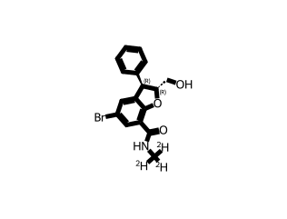 [2H]C([2H])([2H])NC(=O)c1cc(Br)cc2c1O[C@@H](CO)[C@@H]2c1ccccc1